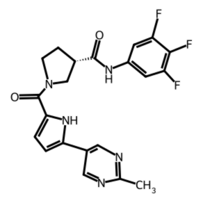 Cc1ncc(-c2ccc(C(=O)N3CC[C@H](C(=O)Nc4cc(F)c(F)c(F)c4)C3)[nH]2)cn1